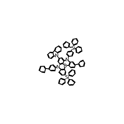 c1ccc(-c2ccc(N3c4ccc([Si](c5ccccc5)(c5ccccc5)c5ccccc5)cc4B4c5ccc(-c6ccccc6)cc5N(c5ccc([Si](c6ccccc6)(c6ccccc6)c6ccccc6)cc5)c5cc(-n6c7ccccc7c7ccccc76)cc3c54)cc2)cc1